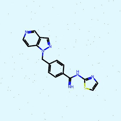 N=C(Nc1nccs1)c1ccc(Cn2ncc3cnccc32)cc1